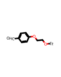 CCOCCOc1ccc(C=O)cc1